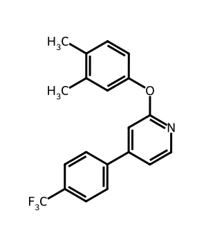 Cc1ccc(Oc2cc(-c3ccc(C(F)(F)F)cc3)ccn2)cc1C